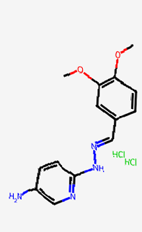 COc1ccc(C=NNc2ccc(N)cn2)cc1OC.Cl.Cl